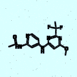 COc1cc(Nc2ccnc(NC(C)=O)c2)nc(C(C)(F)F)n1